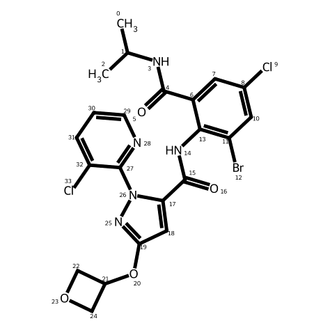 CC(C)NC(=O)c1cc(Cl)cc(Br)c1NC(=O)c1cc(OC2COC2)nn1-c1ncccc1Cl